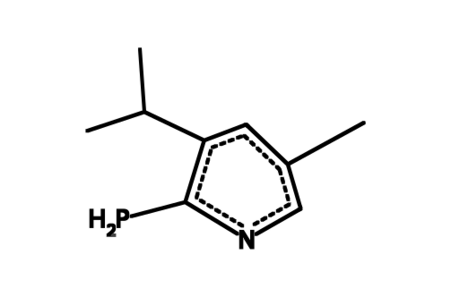 Cc1cnc(P)c(C(C)C)c1